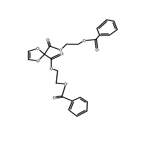 O=C(OCCOC(=O)C1(C(=O)OCCOC(=O)c2ccccc2)OC=CO1)c1ccccc1